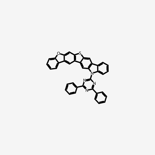 c1ccc(-c2nc(-c3ccccc3)nc(-n3c4ccccc4c4cc5sc6cc7oc8ccccc8c7cc6c5cc43)n2)cc1